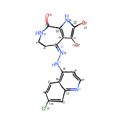 O=C1NCC/C(=N\Nc2ccnc3cc(Cl)ccc23)c2c1[nH]c(Br)c2Br